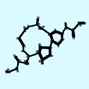 COC(=O)Nc1ccc2c(c1)NC(=O)CC/C=C/C[C@H](NC(=O)OC(C)(C)C)c1nc-2c[nH]1